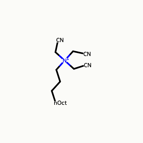 CCCCCCCCCCC[N+](CC#N)(CC#N)CC#N